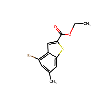 CCOC(=O)c1cc2c(Br)cc(C)cc2s1